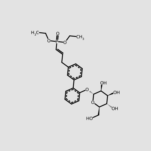 CCOP(=O)(C=CCc1cccc(-c2ccccc2O[C@H]2O[C@H](CO)[C@@H](O)[C@H](O)[C@@H]2O)c1)OCC